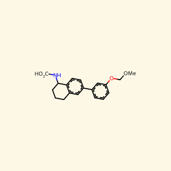 COCOc1cccc(-c2ccc3c(c2)CCCC3NC(=O)O)c1